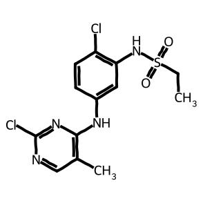 CCS(=O)(=O)Nc1cc(Nc2nc(Cl)ncc2C)ccc1Cl